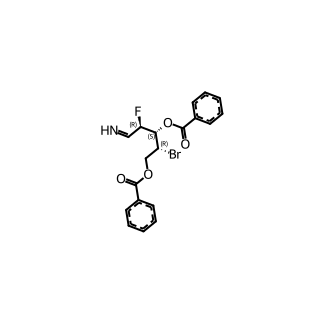 N=C[C@@H](F)[C@H](OC(=O)c1ccccc1)[C@H](Br)COC(=O)c1ccccc1